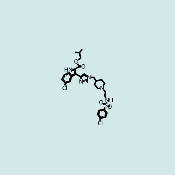 CC(C)COC(=O)c1[nH]c2ccc(Cl)cc2c1-c1cn(CC2CCN(CCNS(=O)(=O)c3ccc(Cl)cc3)CC2)nn1